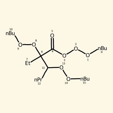 CCCCOOOC(=O)C(CC)(OOCCCC)C(CCC)OOCCCC